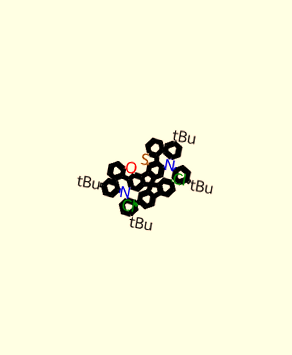 CC(C)(C)c1ccc(N(c2ccc(C(C)(C)C)cc2)c2cc3c(c4sc5c(c24)CCC=C5)-c2c(cc(N(c4ccc(C(C)(C)C)cc4)c4ccc(C(C)(C)C)cc4)c4c2oc2ccccc24)C32c3cc(Cl)ccc3-c3ccc(Cl)cc32)cc1